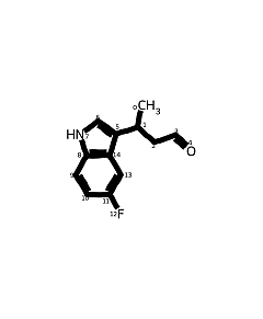 CC(CC=O)c1c[nH]c2ccc(F)cc12